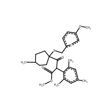 COC(=O)C(C(=O)C1(SCc2ccc(OC)cc2)CCC(C)CC1)c1c(C)cc(C)cc1C